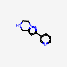 c1cncc(-c2cc3n(n2)CCNC3)c1